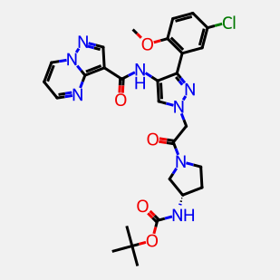 COc1ccc(Cl)cc1-c1nn(CC(=O)N2CC[C@H](NC(=O)OC(C)(C)C)C2)cc1NC(=O)c1cnn2cccnc12